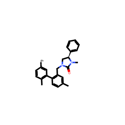 Cc1ccc(-c2cc(C(C)C)ccc2C)c(CN2C[C@@H](c3ccccc3)N(C)C2=O)c1